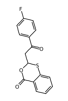 O=C(CC1OC(=O)c2ccccc2S1)c1ccc(F)cc1